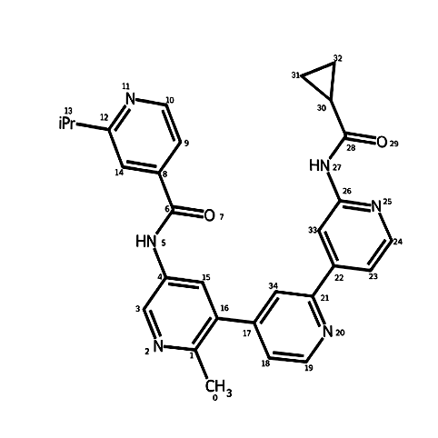 Cc1ncc(NC(=O)c2ccnc(C(C)C)c2)cc1-c1ccnc(-c2ccnc(NC(=O)C3CC3)c2)c1